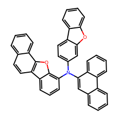 c1ccc2c(c1)cc(N(c1ccc3c(c1)oc1ccccc13)c1cccc3c1oc1c4ccccc4ccc31)c1ccccc12